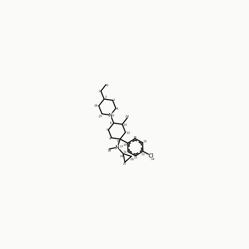 CCC1CCN(C2CCC(c3ccc(Cl)cc3)(N(C)C3CC3)CC2C)CC1